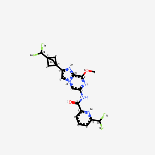 COc1nc(NC(=O)c2cccc(C(F)F)n2)cn2cc(C34CC(C(F)F)(C3)C4)nc12